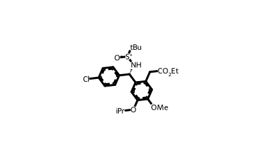 CCOC(=O)Cc1cc(OC)c(OC(C)C)cc1[C@@H](N[S+]([O-])C(C)(C)C)c1ccc(Cl)cc1